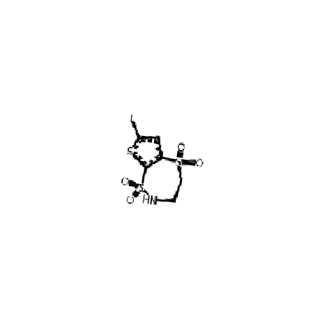 O=S1(=O)CCNS(=O)(=O)c2sc(I)cc21